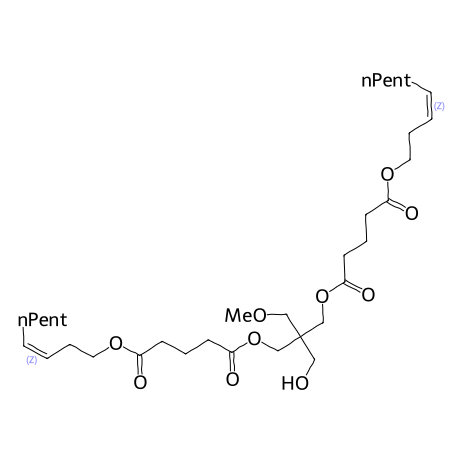 CCCCC/C=C\CCOC(=O)CCCC(=O)OCC(CO)(COC)COC(=O)CCCC(=O)OCC/C=C\CCCCC